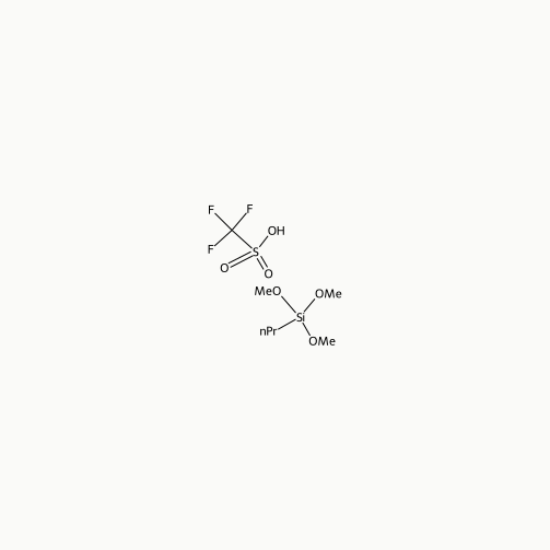 CCC[Si](OC)(OC)OC.O=S(=O)(O)C(F)(F)F